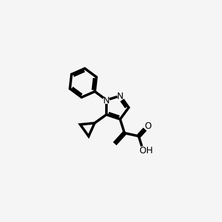 C=C(C(=O)O)c1cnn(-c2ccccc2)c1C1CC1